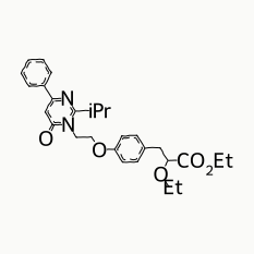 CCOC(=O)C(Cc1ccc(OCCn2c(C(C)C)nc(-c3ccccc3)cc2=O)cc1)OCC